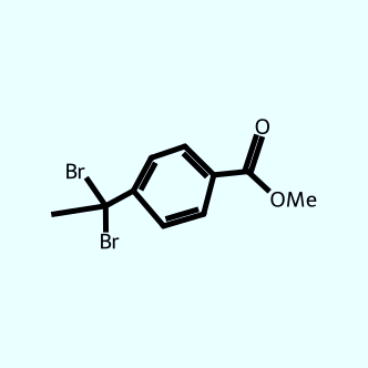 COC(=O)c1ccc(C(C)(Br)Br)cc1